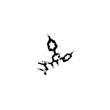 CC(C[S+](C)[O-])NC(=O)c1cc(-c2ccc(Cl)cc2)nn(-c2cccc(F)c2)c1=O